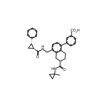 CC1(NC(=O)N2CCc3c(-c4cccc(C(=O)O)c4)ccc(CNC(=O)[C@H]4C[C@@H]4c4ccccc4)c3C2)CC1